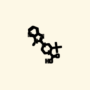 Cn1c(N2CCN(C(=O)O)C(C(C)(C)C)C2)nc2cccnc21